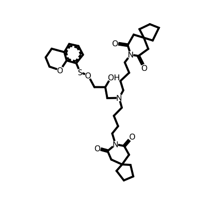 O=C1CC2(CCCC2)CC(=O)N1CCCCN(CCCCN1C(=O)CC2(CCCC2)CC1=O)CC(O)COSc1cccc2c1OCCC2